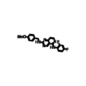 COc1ccc(CNc2ncc3c(Nc4ccc(F)cc4F)nccc3n2)cc1